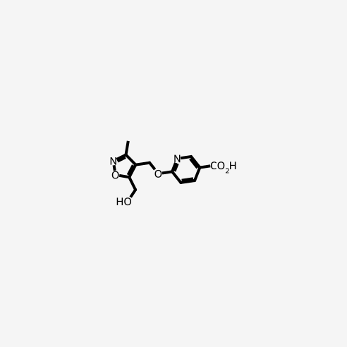 Cc1noc(CO)c1COc1ccc(C(=O)O)cn1